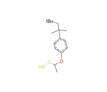 CC(Oc1ccc(C(C)(C)CC(C)(C)C)cc1)SS